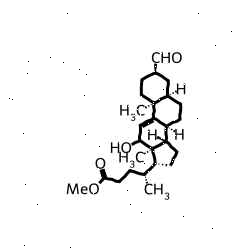 COC(=O)CC[C@@H](C)[C@H]1CC[C@H]2[C@@H]3CC[C@@H]4C[C@H](C=O)CC[C@]4(C)C3=CC(O)[C@]12C